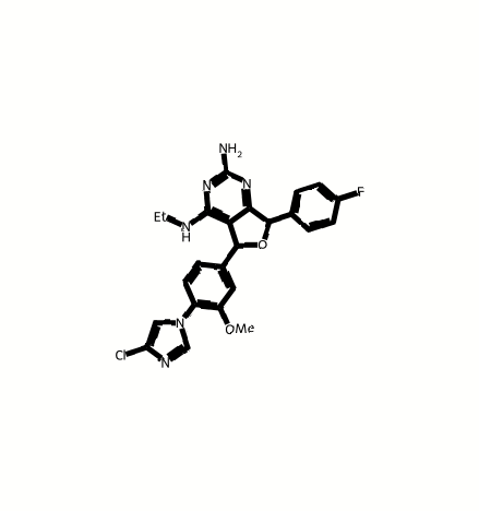 CCNc1nc(N)nc2c1C(c1ccc(-n3cnc(Cl)c3)c(OC)c1)OC2c1ccc(F)cc1